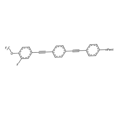 CCCCCc1ccc(C#Cc2ccc(C#Cc3ccc(OC(F)(F)F)c(F)c3)cc2)cc1